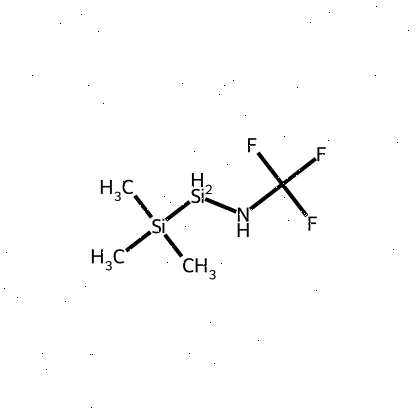 C[Si](C)(C)[SiH2]NC(F)(F)F